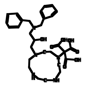 O=C(O)C(C(=O)O)(C(=O)O)N1CCNCCNCCN(CC(O)CN(Cc2ccccc2)Cc2ccccc2)CC1